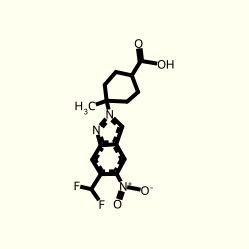 CC1(n2cc3cc([N+](=O)[O-])c(C(F)F)cc3n2)CCC(C(=O)O)CC1